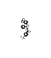 O=C(O/N=C(/Nc1ccc2c(c1)OCO2)c1ccccc1)c1ccc(C(F)(F)F)cc1